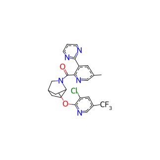 Cc1cnc(C(=O)N2CC3CCC2C(Oc2ncc(C(F)(F)F)cc2Cl)C3)c(-c2ncccn2)c1